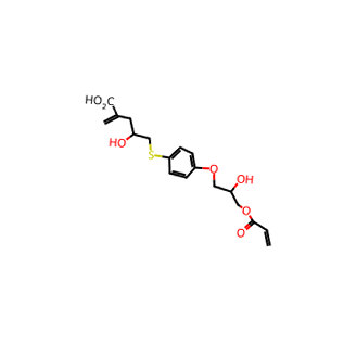 C=CC(=O)OCC(O)COc1ccc(SCC(O)CC(=C)C(=O)O)cc1